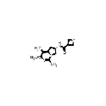 CC1=N[C@@H](C)C(C)=C2C[C@H](NC(=O)C3COC3)CN12